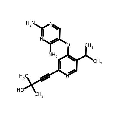 CC(C)c1cnc(C#CC(C)(C)O)cc1Oc1cnc(N)nc1N